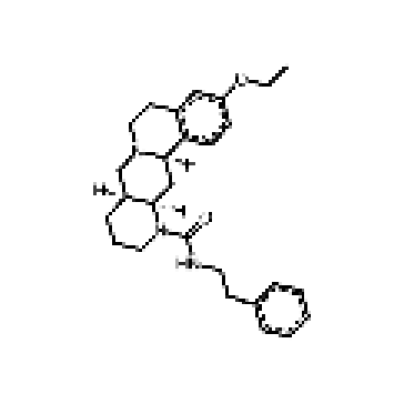 CCOc1ccc2c(c1)CCN1C[C@@H]3CCCN(C(=O)NCCc4ccccc4)[C@@H]3C[C@H]21